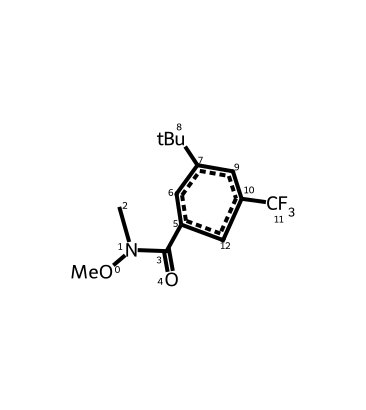 CON(C)C(=O)c1cc(C(C)(C)C)cc(C(F)(F)F)c1